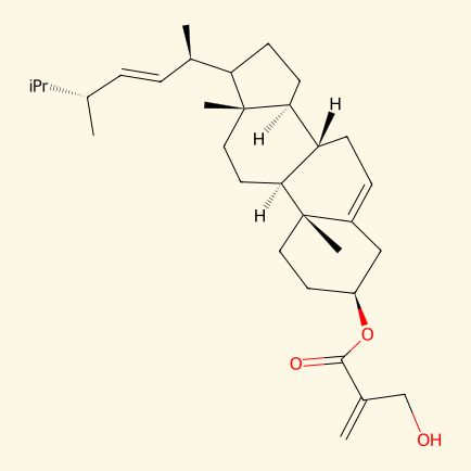 C=C(CO)C(=O)O[C@H]1CC[C@@]2(C)C(=CC[C@@H]3[C@@H]2CC[C@]2(C)C([C@H](C)/C=C/[C@H](C)C(C)C)CC[C@@H]32)C1